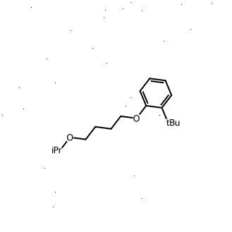 CC(C)OCCCCOc1ccccc1C(C)(C)C